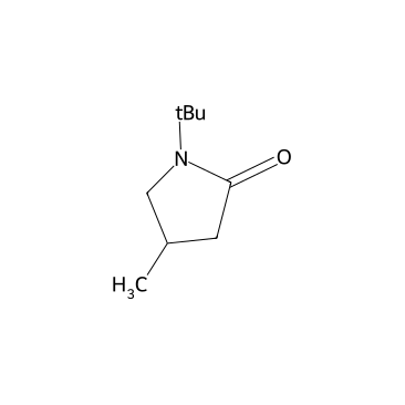 CC1CC(=O)N(C(C)(C)C)C1